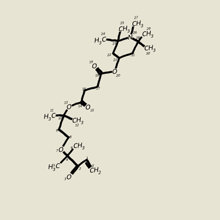 C=CC(=O)C(C)(C)OCCC(C)(C)OC(=O)CCC(=O)OC1CC(C)(C)N(C)C(C)(C)C1